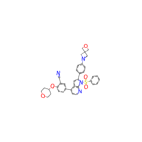 N#Cc1cc(-c2ccnc3c2cc(-c2ccc(N4CC5(COC5)C4)cc2)n3S(=O)(=O)c2ccccc2)ccc1OC1CCOCC1